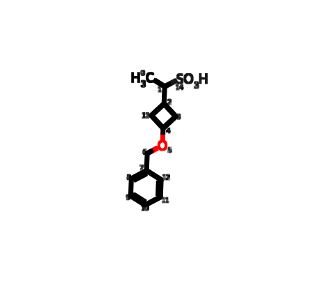 CC(C1CC(OCc2ccccc2)C1)S(=O)(=O)O